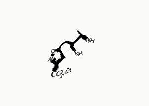 CCOC(=O)c1cc(CC(=N)C(=N)I)on1